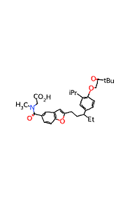 CCC(CCc1cc2cc(C(=O)N(C)CC(=O)O)ccc2o1)c1ccc(OCC(=O)C(C)(C)C)c(C(C)C)c1